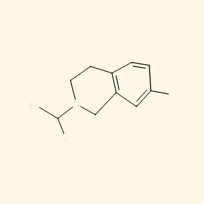 CCC(CC)N1CCc2ccc(F)cc2C1